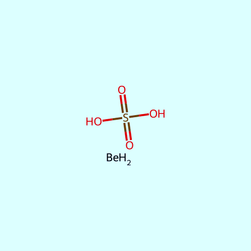 O=S(=O)(O)O.[BeH2]